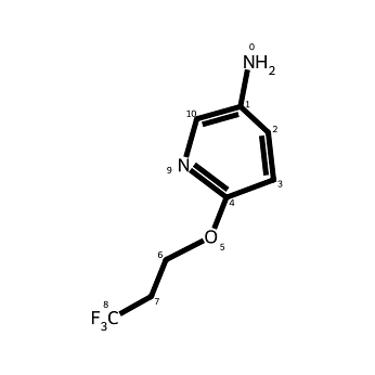 Nc1ccc(OCCC(F)(F)F)nc1